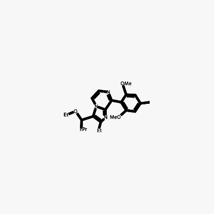 CCCC(OCC)c1c(CC)nc2c(-c3c(OC)cc(C)cc3OC)nccn12